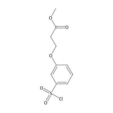 COC(=O)CCOc1cccc(S(=O)(=O)Cl)c1